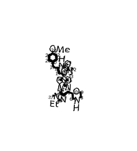 CCc1nc2c(C3CNCCO3)nc(S(=O)(=O)CC=C(Cc3ccc(OC)cc3)NS(=O)(=O)N(C)C)nc2n1C